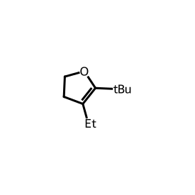 CCC1=C(C(C)(C)C)OCC1